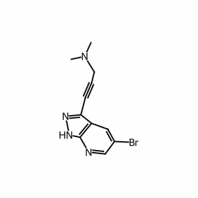 CN(C)CC#Cc1n[nH]c2ncc(Br)cc12